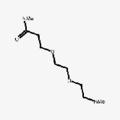 CNCCOCCOCCC(=O)NC